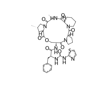 C[C@H]1C[C@H]2C(=O)OC[C@H](NC(=O)[C@H](Cc3ccccc3)NC(=O)Nc3nccs3)C(=O)N3CCC[C@H]3C(=O)N3CCCC[C@H]3C(=O)N[C@@H](C)C(=O)N2C1